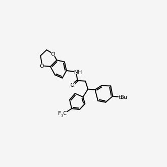 CC(C)(C)c1ccc(C(CC(=O)Nc2ccc3c(c2)OCCO3)c2ccc(C(F)(F)F)cc2)cc1